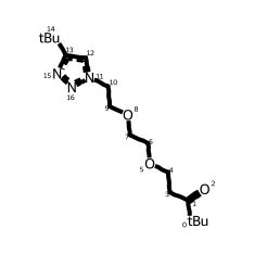 CC(C)(C)C(=O)CCOCCOCCn1cc(C(C)(C)C)nn1